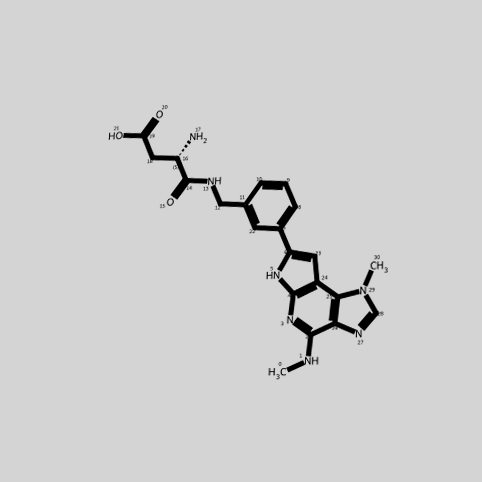 CNc1nc2[nH]c(-c3cccc(CNC(=O)[C@@H](N)CC(=O)O)c3)cc2c2c1ncn2C